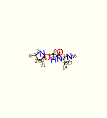 Cc1cnc(OCC(C)(C)C(=O)NC2CN(C)CC2C)c(C)c1